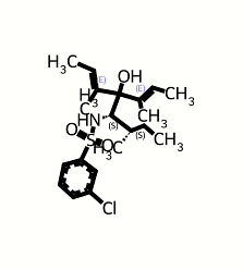 C/C=C(\C)C(O)(/C(C)=C/C)[C@@H](NS(=O)(=O)c1cccc(Cl)c1)[C@@H](C)CC